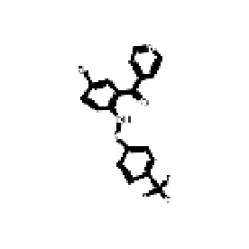 O=C(c1ccncc1)c1cc(Cl)ccc1NSc1ccc(C(F)(F)F)cc1